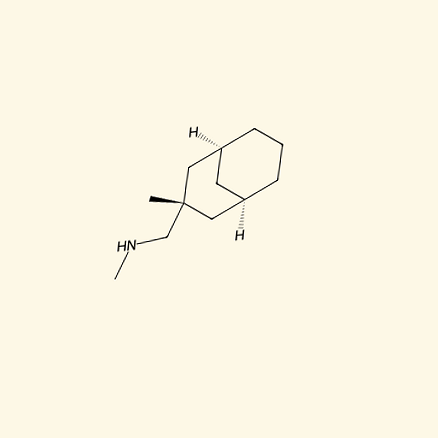 CNC[C@@]1(C)C[C@@H]2CCC[C@@H](C2)C1